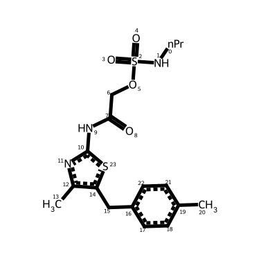 CCCNS(=O)(=O)OCC(=O)Nc1nc(C)c(Cc2ccc(C)cc2)s1